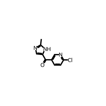 Cc1ncc(C(=O)c2ccc(Cl)nc2)[nH]1